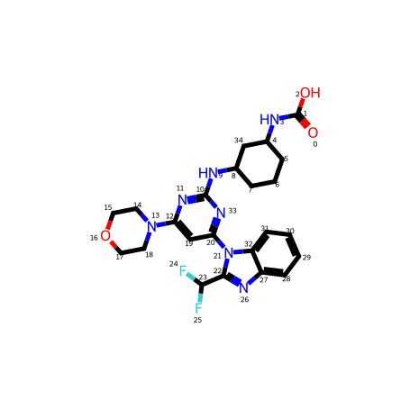 O=C(O)NC1CCCC(Nc2nc(N3CCOCC3)cc(-n3c(C(F)F)nc4ccccc43)n2)C1